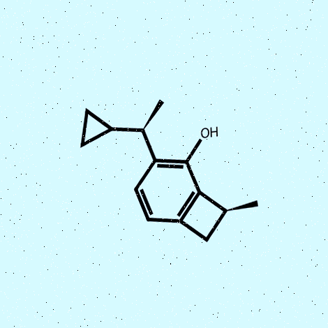 C[C@H]1Cc2ccc([C@H](C)C3CC3)c(O)c21